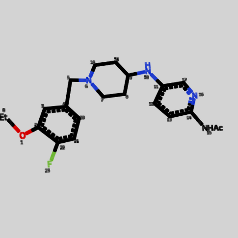 CCOc1cc(CN2CCC(Nc3ccc(NC(C)=O)nc3)CC2)ccc1F